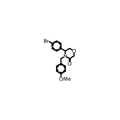 COc1ccc(CN2C(=O)COCC2c2ccc(Br)cc2)cc1